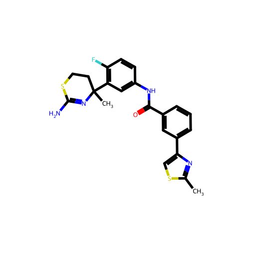 Cc1nc(-c2cccc(C(=O)Nc3ccc(F)c(C4(C)CCSC(N)=N4)c3)c2)cs1